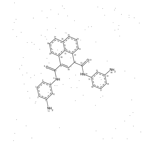 Nc1cccc(NC(=O)C2=CC(C(=O)Nc3cccc(N)c3)c3cccc4cccc2c34)c1